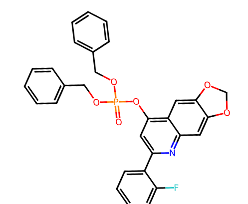 O=P(OCc1ccccc1)(OCc1ccccc1)Oc1cc(-c2ccccc2F)nc2cc3c(cc12)OCO3